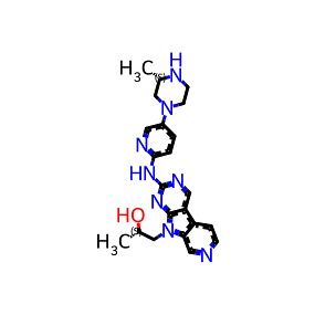 C[C@H](O)Cn1c2cnccc2c2cnc(Nc3ccc(N4CCN[C@@H](C)C4)cn3)nc21